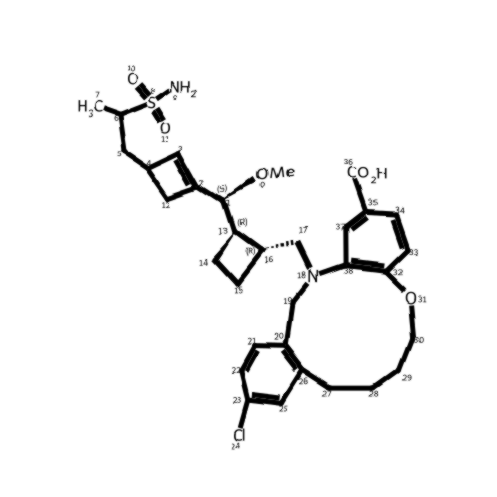 CO[C@H](C1=CC(CC(C)S(N)(=O)=O)C1)[C@@H]1CC[C@H]1CN1Cc2ccc(Cl)cc2CCCCOc2ccc(C(=O)O)cc21